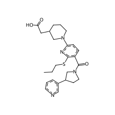 CCCSc1nc(N2CCCC(CC(=O)O)C2)ccc1C(=O)N1CCC(c2cccnc2)C1